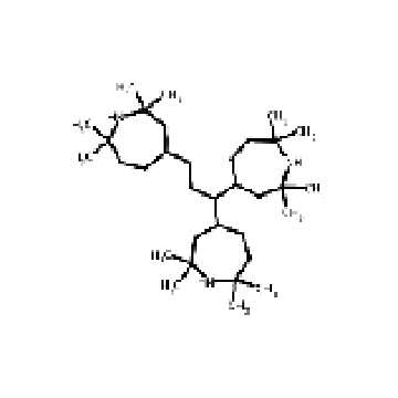 CC1(C)CCC(CCC(C2CCC(C)(C)NC(C)(C)C2)C2CCC(C)(C)NC(C)(C)C2)CC(C)(C)N1